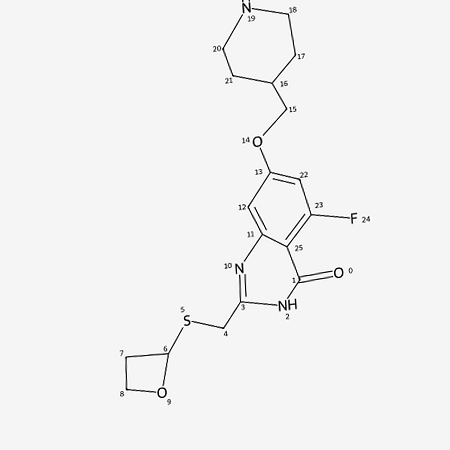 O=c1[nH]c(CSC2CCO2)nc2cc(OCC3CCNCC3)cc(F)c12